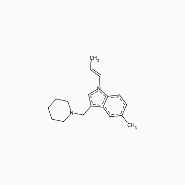 CC=Cn1cc(CN2CCCCC2)c2cc(C)ccc21